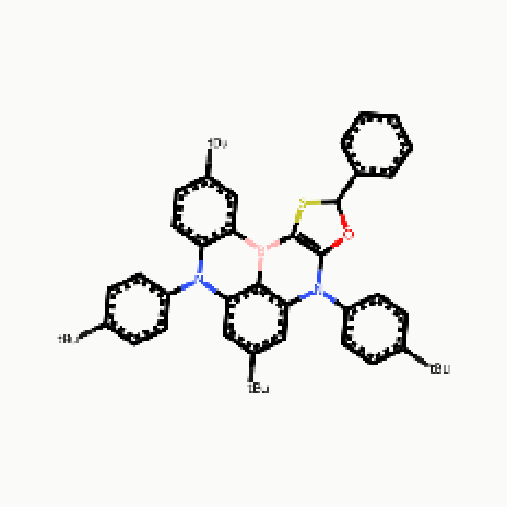 CC(C)(C)c1ccc(N2C3=C(SC(c4ccccc4)O3)B3c4cc(C(C)(C)C)ccc4N(c4ccc(C(C)(C)C)cc4)c4cc(C(C)(C)C)cc2c43)cc1